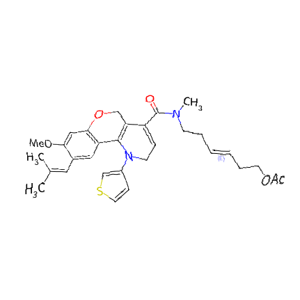 COc1cc2c(cc1C=C(C)C)C1=C(CO2)C(C(=O)N(C)CC/C=C/CCOC(C)=O)=CCN1c1ccsc1